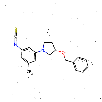 FC(F)(F)c1cc(N=C=S)cc(N2CC[C@H](OCc3ccccc3)C2)c1